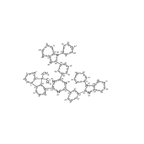 CC1(C)c2ccccc2-c2cccc(-c3nc(-c4cccc(-c5nc6ccccc6n5-c5ccccc5)c4)nc(-c4cccc(-c5nc6ccccc6n5-c5ccccc5)c4)n3)c21